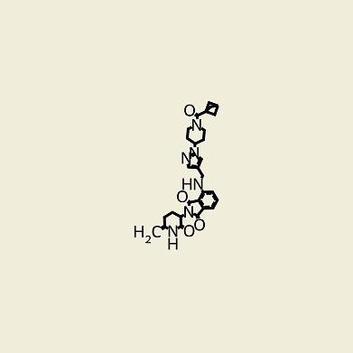 C=C1CCC(N2C(=O)c3cccc(NCc4cnn(C5CCN(C(=O)C67CC(C6)C7)CC5)c4)c3C2=O)C(=O)N1